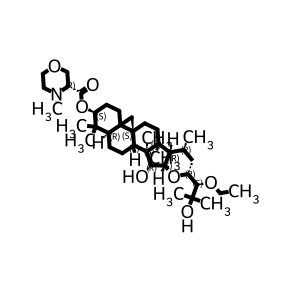 CCO[C@@H]([C@H]1C[C@@H](C)[C@H]2[C@H](O1)[C@H](O)[C@@]1(C)[C@@H]3CC[C@H]4C(C)(C)[C@@H](OC(=O)[C@H]5COCCN5C)CCC45C[C@@]35CC[C@]21C)C(C)(C)O